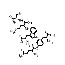 CSCC[C@H](N)C(=O)O.NC(=O)CC[C@H](N)C(=O)Oc1ccc(C[C@H](N)C(=O)O)cc1.N[C@@H](CS)C(=O)O.N[C@@H](Cc1c[nH]c2ccccc12)C(=O)O